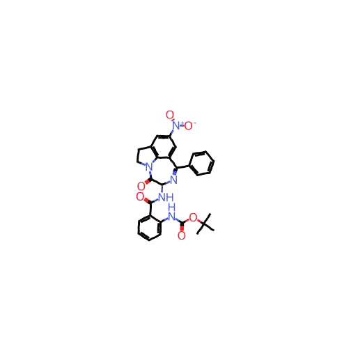 CC(C)(C)OC(=O)Nc1ccccc1C(=O)N[C@@H]1N=C(c2ccccc2)c2cc([N+](=O)[O-])cc3c2N(CC3)C1=O